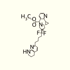 CCOC(=O)C(c1cccnc1C1CC1)N1CC[C@@H](C(F)(F)CCCCc2ccc3c(n2)NCCC3)C1